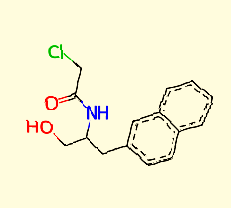 O=C(CCl)NC(CO)Cc1ccc2ccccc2c1